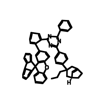 CCCC1(c2ccc(-c3nc(-c4ccccc4)nc(-c4ccccc4-c4ccc5c(c4)C4(c6ccccc6O5)c5ccccc5-c5ccccc54)n3)cc2)CC2=C[C@@H](CC2)C1